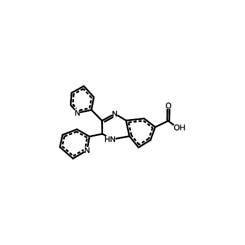 O=C(O)c1ccc2c(c1)N=C(c1ccccn1)C(c1ccccn1)N2